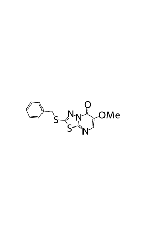 COc1cnc2sc(SCc3ccccc3)nn2c1=O